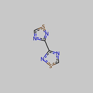 c1nc(-c2ncsn2)ns1